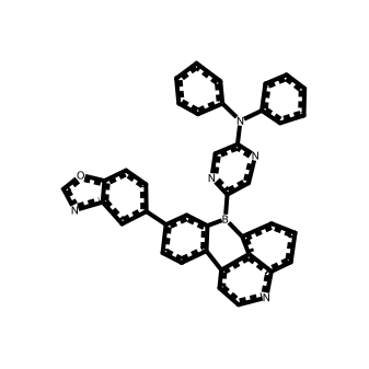 c1ccc(N(c2ccccc2)c2cnc(B3c4cc(-c5ccc6ocnc6c5)ccc4-c4ccnc5cccc3c45)cn2)cc1